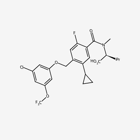 CC(C)[C@@H](C(=O)O)N(C)C(=O)c1cc(C2CC2)c(COc2cc(Cl)cc(OC(F)(F)F)c2)cc1F